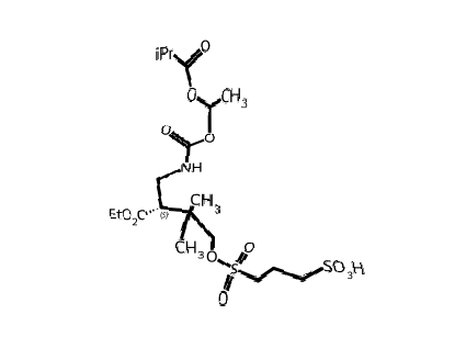 CCOC(=O)[C@H](CNC(=O)OC(C)OC(=O)C(C)C)C(C)(C)COS(=O)(=O)CCCS(=O)(=O)O